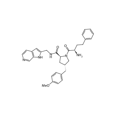 COc1ccc(C[C@@H]2C[C@@H](C(=O)NCc3cc4ccncc4[nH]3)N(C(=O)[C@H](N)CCc3ccccc3)C2)cc1